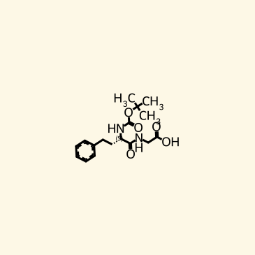 CC(C)(C)OC(=O)N[C@@H](CCc1ccccc1)C(=O)NCC(=O)O